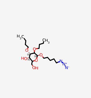 CCCCOC1[C@@H](OCCCCCN=[N+]=[N-])OC(CO)[C@H](O)[C@@H]1OCCCC